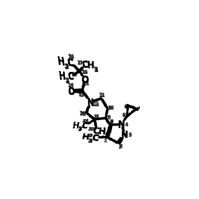 Cc1cnn(C2CC2)c1C1CCN(C(=O)OC(C)(C)C)CC1(C)C